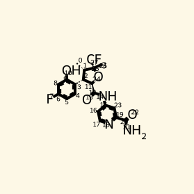 C[C@H]1[C@@H](c2ccc(F)cc2O)[C@H](C(=O)Nc2ccnc(C(N)=O)c2)O[C@@]1(C)C(F)(F)F